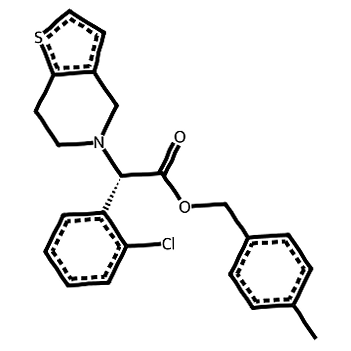 Cc1ccc(COC(=O)[C@H](c2ccccc2Cl)N2CCc3sccc3C2)cc1